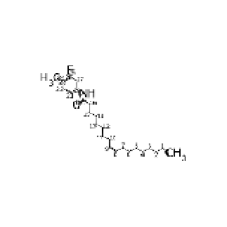 CCCCCCCC/C=C\CCCCCCCC(=O)Nc1ccc(C)c(F)c1